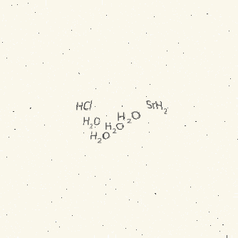 Cl.O.O.O.O.[SrH2]